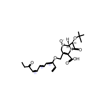 C=C\C(=C/C=C/C=C\C(=O)CC)OCC1=C(C(=O)O)N2C(=O)[C@H](OC(C)(C)C)[C@H]2[S+]([O-])C1